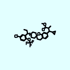 CCC(c1cc(Cl)ccc1OC(F)(F)F)N1CCC2(CCc3ccc(C(C4CC4)C(C)C(=O)OC)cc3O2)CC1